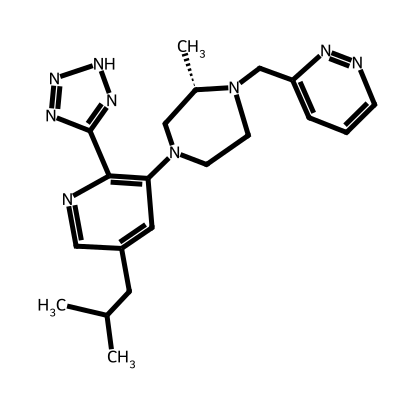 CC(C)Cc1cnc(-c2nn[nH]n2)c(N2CCN(Cc3cccnn3)[C@@H](C)C2)c1